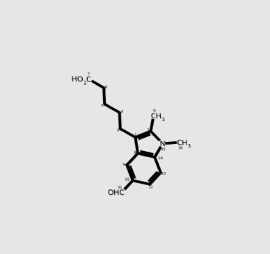 Cc1c(CCCCC(=O)O)c2cc(C=O)ccc2n1C